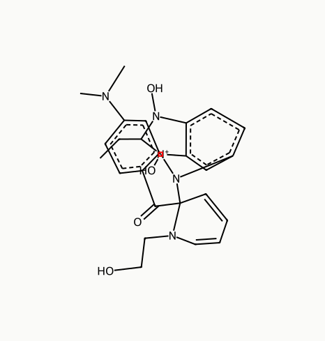 CCC1N(O)c2ccc3cc2[N+]1(O)N3C1(C(=O)c2ccc(N(C)C)cc2)C=CC=CN1CCO